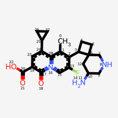 Cc1c(C2CCC23CNCC(N)C3)c(F)cn2c(=O)c(C(=O)O)cc(C3CC3)c12